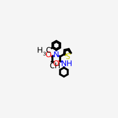 C#CC(=O)N(c1ccccc1C)C(C(=O)NC1CCCCC1)c1cccs1